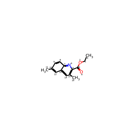 CCOC(=O)c1nc2ccc(C)cc2cc1C